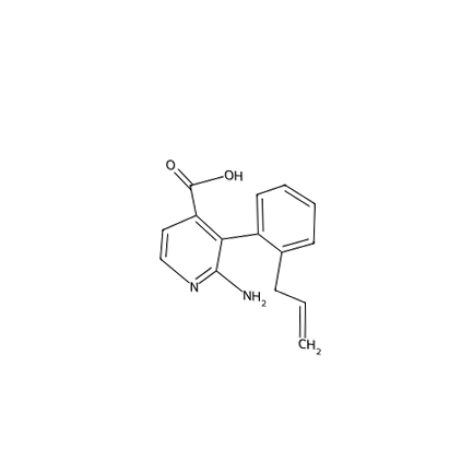 C=CCc1ccccc1-c1c(C(=O)O)ccnc1N